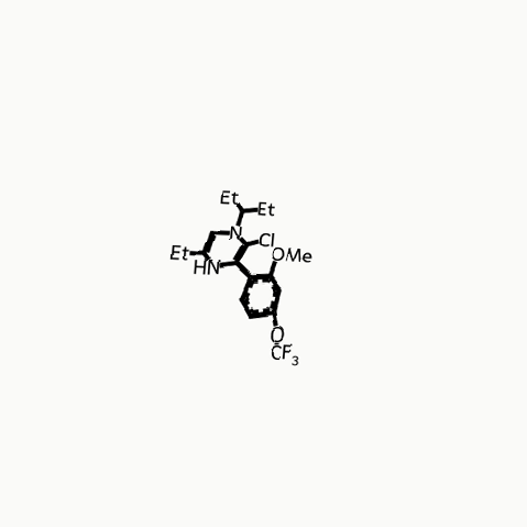 CCC1=CN(C(CC)CC)C(Cl)=C(c2ccc(OC(F)(F)F)cc2OC)N1